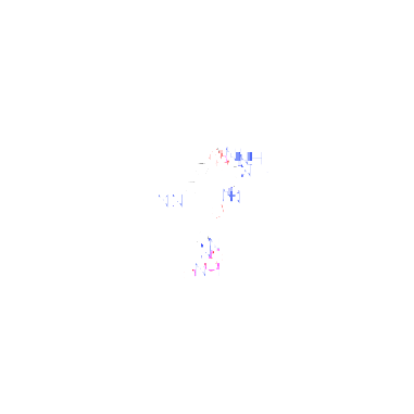 CN1CCN(Cc2ccc(-c3ccc(CO[C@H]4CCC[C@@H]4NC(=O)c4cc(-c5cnn(CCOCCCc6cccc7c6n(C)c(=O)n7C6CCC(=O)NC6=O)c5)cnc4N)cc3)cc2)CC1